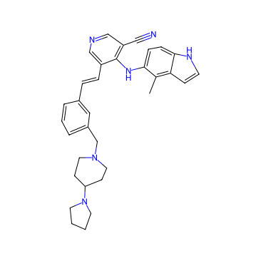 Cc1c(Nc2c(C#N)cncc2C=Cc2cccc(CN3CCC(N4CCCC4)CC3)c2)ccc2[nH]ccc12